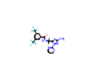 CC(C)(NC(=O)c1cc(C(F)(F)F)cc(C(F)(F)F)c1)c1nc(N)nn1-c1ncccn1